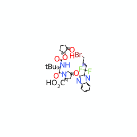 CC(C)(C)[C@H](NC(=O)O[C@@H]1CCC[C@H]1O)C(=O)N1C[C@H](Oc2nc3ccccc3nc2C(F)(F)/C=C/CBr)C[C@H]1C(=O)O